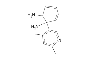 Cc1cc(C)c(C2(N)C=CC=CC2N)cn1